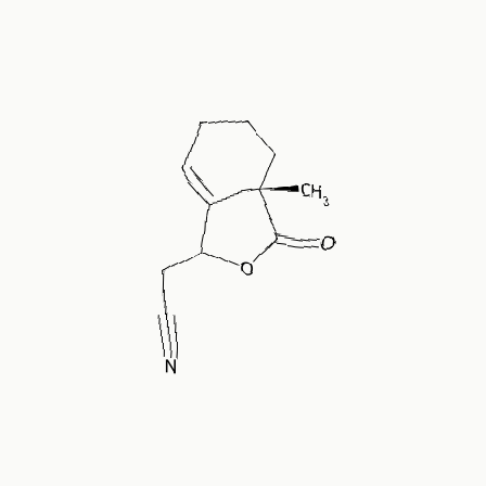 C[C@]12CCCC=C1C(CC#N)OC2=O